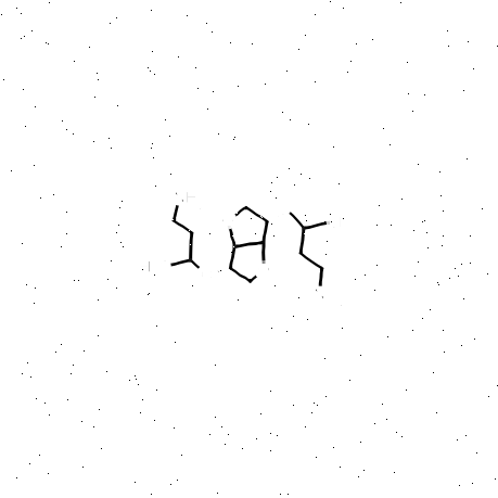 CC(CCN)C[C@H]1COC2C1OC[C@@H]2OC(C)CCN